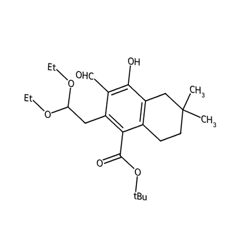 CCOC(Cc1c(C=O)c(O)c2c(c1C(=O)OC(C)(C)C)CCC(C)(C)C2)OCC